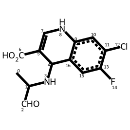 CC(C=O)NC1C(C(=O)O)=CNc2cc(Cl)c(F)cc21